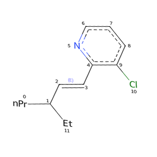 CCCC(/C=C/c1ncccc1Cl)CC